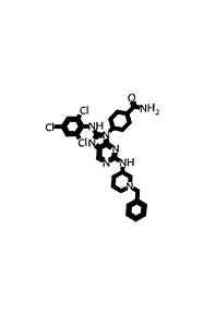 NC(=O)C1CCC(n2c(Nc3c(Cl)cc(Cl)cc3Cl)nc3cnc(NC4CCCN(Cc5ccccc5)C4)nc32)CC1